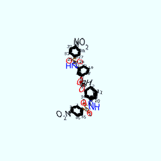 O=[N+]([O-])c1ccc(S(=O)(=O)Nc2cccc(OBOc3cccc(NS(=O)(=O)c4ccc([N+](=O)[O-])cc4)c3)c2)cc1